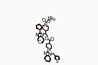 CC(C)(C)OC(=O)N1CCC(C(COC(=O)C2CCN(c3nc4ccccc4n3Cc3ccsc3)CC2)n2c(-c3ccccc3)nc3ccccc32)CC1